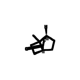 CC12CC[C@@]13CC[C@H]2CC3=O